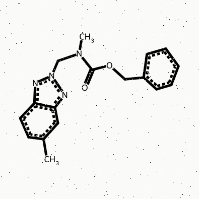 Cc1ccc2nn(CN(C)C(=O)OCc3ccccc3)nc2c1